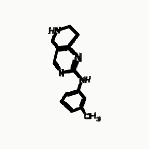 Cc1cccc(Nc2ncc3c(n2)CCNC3)c1